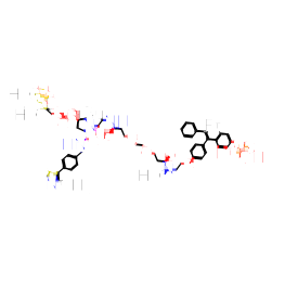 CC/C(=C(/c1ccc(OCCN(C)C(=O)CCOCCOCCC(=O)N[C@H](C(=O)N2C[C@H](OC(=O)OCC(C)(C)SS(C)(=O)=O)C[C@H]2C(=O)NCc2ccc(-c3scnc3C)cc2)C(C)(C)C)cc1)c1ccc(OP(=O)(O)O)cc1)c1ccccc1